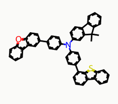 CC1(C)c2ccccc2-c2ccc(N(c3ccc(-c4ccc5oc6ccccc6c5c4)cc3)c3ccc(-c4cccc5c4sc4ccccc45)cc3)cc21